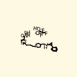 O=C(NO)c1cnc(CCCN2CCC(CNC3CC3c3ccccc3)CC2)s1.O=C(O)C(F)(F)F